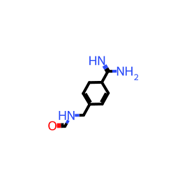 N=C(N)C1C=CC(CNC=O)=CC1